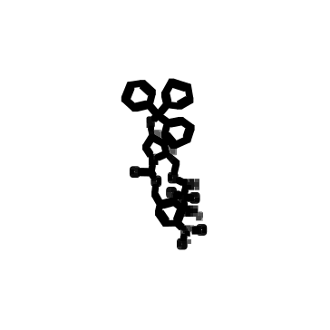 NS(=O)(=O)NOC[C@@H]1C[C@H](SC(c2ccccc2)(c2ccccc2)c2ccccc2)CN1C(=O)OCc1ccc([N+](=O)[O-])cc1